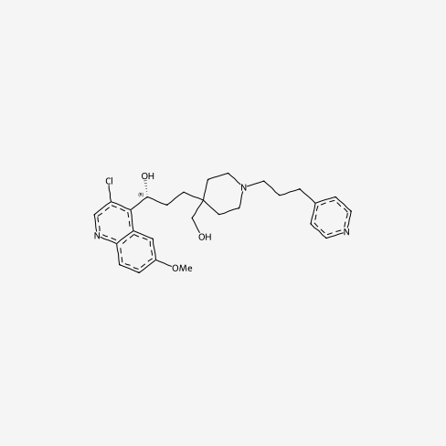 COc1ccc2ncc(Cl)c([C@H](O)CCC3(CO)CCN(CCCc4ccncc4)CC3)c2c1